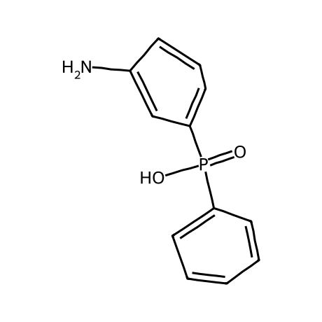 Nc1cccc(P(=O)(O)c2ccccc2)c1